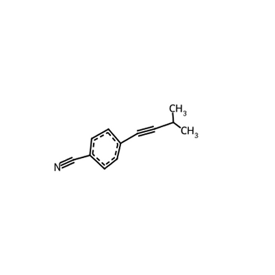 CC(C)C#Cc1ccc(C#N)cc1